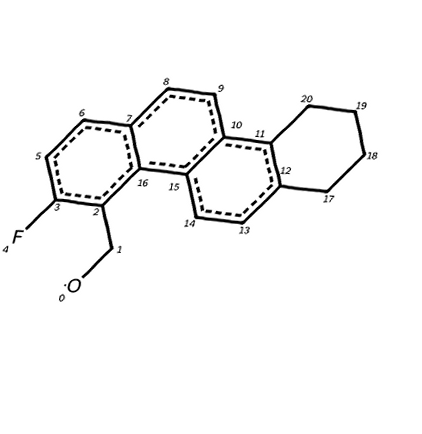 [O]Cc1c(F)ccc2ccc3c4c(ccc3c12)CCCC4